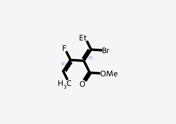 C/C=C(F)\C(C(=O)OC)=C(\Br)CC